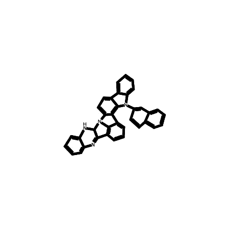 c1ccc2c(c1)N=C1c3cccc4c5c6c(ccc5n(c34)C1N2)c1ccccc1n6-c1ccc2ccccc2c1